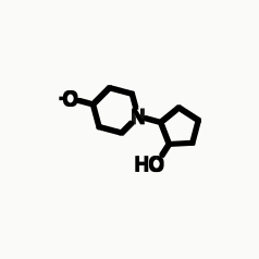 [O]C1CCN(C2CCCC2O)CC1